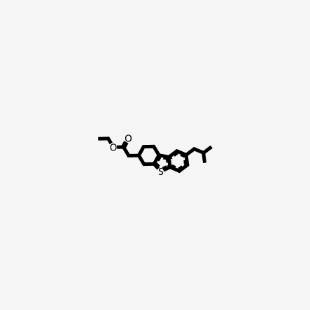 CCOC(=O)CC1CCc2c(sc3ccc(CC(C)C)cc23)C1